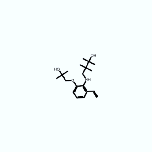 C=Cc1cccc(OCC(C)(C)O)c1NCC(C)(C)C(C)(C)O